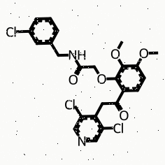 COc1ccc(C(=O)Cc2c(Cl)cncc2Cl)c(OCC(=O)NCc2cccc(Cl)c2)c1OC